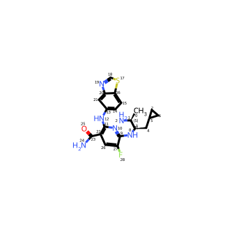 C[C@H](N)[C@@H](CC1CC1)Nc1nc(Nc2ccc3scnc3c2)c(C(N)=O)cc1F